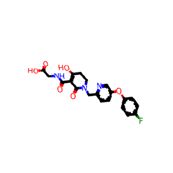 O=C(O)CNC(=O)C1=C(O)CCN(Cc2ccc(Oc3ccc(F)cc3)cn2)C1=O